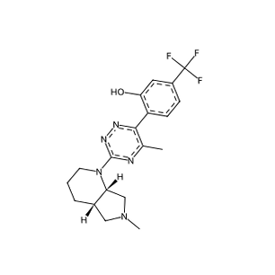 Cc1nc(N2CCC[C@H]3CN(C)C[C@H]32)nnc1-c1ccc(C(F)(F)F)cc1O